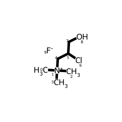 C[N+](C)(C)CC(Cl)CO.[F-]